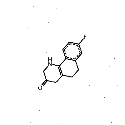 O=C1CNC2=C(CCc3cc(F)ccc32)C1